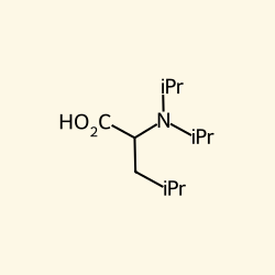 CC(C)CC(C(=O)O)N(C(C)C)C(C)C